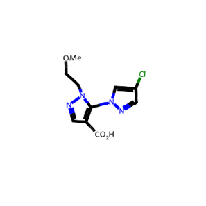 COCCn1ncc(C(=O)O)c1-n1cc(Cl)cn1